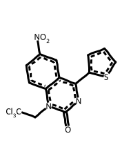 O=c1nc(-c2cccs2)c2cc([N+](=O)[O-])ccc2n1CC(Cl)(Cl)Cl